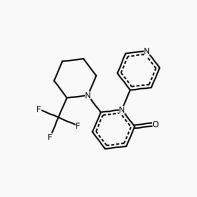 O=c1cccc(N2CCCCC2C(F)(F)F)n1-c1ccncc1